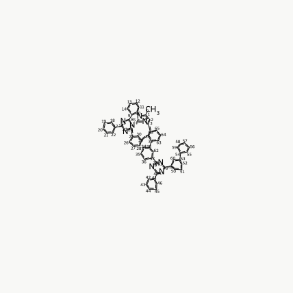 Cc1cc2nc(n1)[n+]1c(-c3ccccc3)nc(-c3ccccc3)nc1c1cccc(c1)c1c(-c3cccc(-c4nc(-c5ccccc5)nc(-c5cccc(-c6ccccc6)c5)n4)c3)cccc21